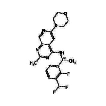 Cc1nc(N[C@H](C)c2cccc(C(F)F)c2F)c2cc(N3CCOCC3)ncc2n1